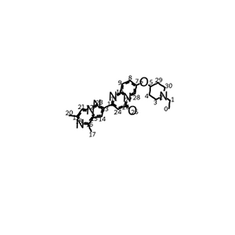 CCN1CCC(Oc2ccc3nc(-c4cc5c(C)nc(C)cn5n4)cc(=O)n3c2)CC1